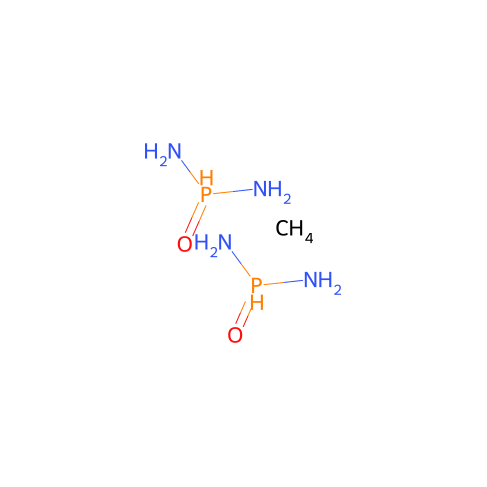 C.N[PH](N)=O.N[PH](N)=O